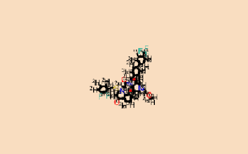 [2H]c1c([2H])c(F)c(F)c(C([2H])([2H])Sc2c([2H])c(=O)c3c([2H])c([2H])c([2H])c([2H])c3n2C([2H])([2H])C(=O)N(C([2H])([2H])c2c([2H])c([2H])c(-c3c([2H])c([2H])c(C(F)(F)F)c(C)c3[2H])c([2H])c2[2H])C2([2H])C([2H])([2H])C([2H])([2H])N(CCOC([2H])([2H])[2H])C([2H])([2H])C2([2H])[2H])c1[2H]